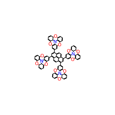 C1=CC2Oc3cccc4c3N3c5c(cc(-c6cc(-c7cc8c9c(c7)Oc7cccc%10c7N9C7C(=CC=CC7O%10)O8)c7ccc8c(-c9cc%10c%11c(c9)Oc9cccc%12c9N%11C9C(=CC=CC9O%12)O%10)cc(-c9cc%10c%11c(c9)Oc9cccc%12c9N%11C9C(=CC=CC9O%12)O%10)c9ccc6c7c98)cc5O4)OC(=C1)C23